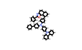 c1ccc(-c2ccc(N(c3ccc(-c4cccc5ccc6nc(-c7ccccc7)oc6c45)cc3)c3ccc(-n4c5ccccc5c5ccccc54)cc3)cc2)cc1